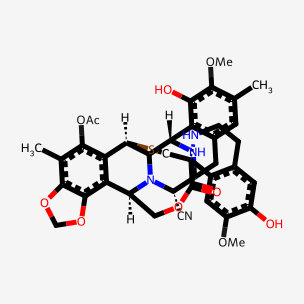 COc1cc2c(cc1O)CCN[C@]21CS[C@@H]2c3c(OC(C)=O)c(C)c4c(c3[C@H](COC1=O)N1C2[C@H]2NC(Cc3cc(C)c(OC)c(O)c32)[C@@H]1C#N)OCO4